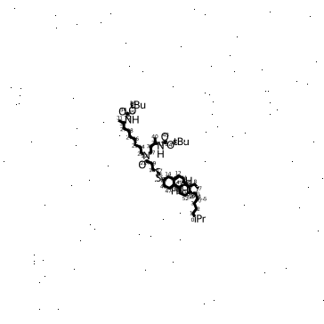 CC(C)CCC[C@@H](C)[C@H]1CC[C@H]2[C@@H]3CC=C4C[C@@H](SSCCC(=O)N(CCCCCCCC(C)NC(=O)OC(C)(C)C)CCC(C)NC(=O)OC(C)(C)C)CC[C@]4(C)[C@H]3CC[C@]12C